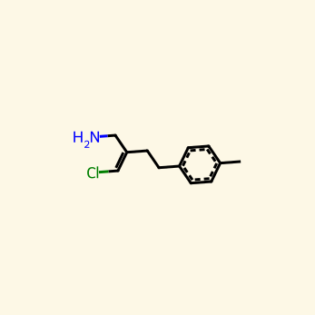 Cc1ccc(CCC(=CCl)CN)cc1